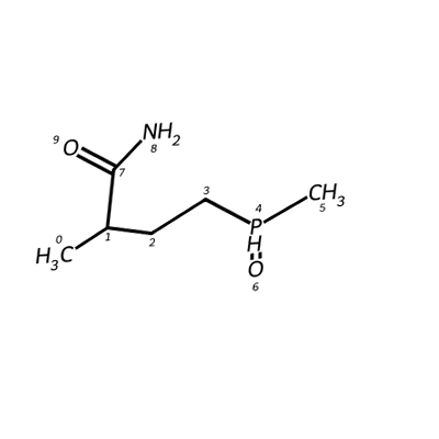 CC(CC[PH](C)=O)C(N)=O